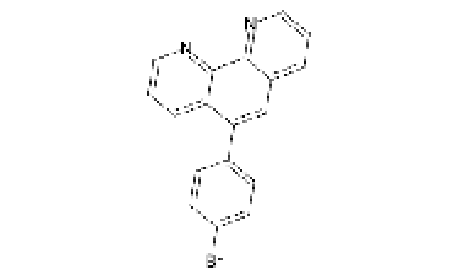 Brc1ccc(-c2cc3cccnc3c3ncccc23)cc1